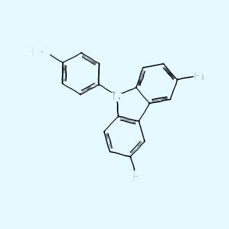 O=Cc1ccc(-n2c3ccc(Br)cc3c3cc(Br)ccc32)cc1